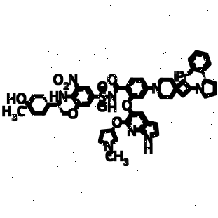 CC(C)c1ccccc1[C@@H]1CCCN1C1CC2(CCN(c3ccc(C(=O)NS(=O)(=O)c4cc5c(c([N+](=O)[O-])c4)N[C@@H]([C@H]4CC[C@](C)(O)CC4)CO5)c(Oc4cc5cc[nH]c5nc4O[C@H]4CCN(C)C4)c3)CC2)C1